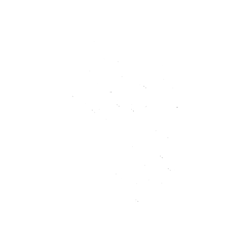 CNC(=O)c1cnn2ccc(-c3cc(NC(C)c4cccc(F)c4)nn3-c3cccc(C)n3)cc12